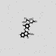 CCCCC1=CC(=Nc2c(C)cc(N(CC(CC)CCCC)CC(CC)CCCC)cc2C)c2ccccc2C1=O